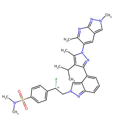 Cc1nc2nn(C)cc2cc1-n1nc(-c2cccc3nn(C[C@@H](F)c4ccc(S(=O)(=O)N(C)C)cc4)cc23)c(C(C)C)c1C